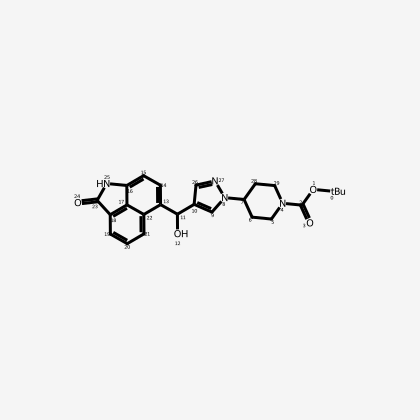 CC(C)(C)OC(=O)N1CCC(n2cc(C(O)c3ccc4c5c(cccc35)C(=O)N4)cn2)CC1